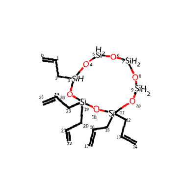 C=CC[SiH]1O[SiH2]O[SiH2]O[SiH2]O[Si](CC=C)(CC=C)O[Si](CC=C)(CC=C)O1